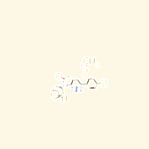 COCOc1cc(Cl)ccc1-c1cc2c(nn1)N([C@H]1CC3CC[C@@H](C3)C1)C(=O)C2